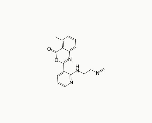 C=NCCNc1ncccc1-c1nc2cccc(C)c2c(=O)o1